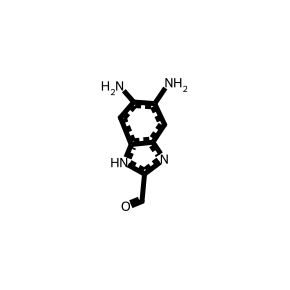 Nc1cc2nc(C=O)[nH]c2cc1N